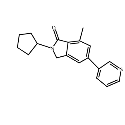 Cc1cc(-c2cccnc2)cc2c1C(=O)N(C1CCCC1)C2